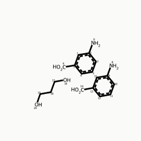 Nc1cccc(C(=O)O)c1.Nc1cccc(C(=O)O)c1.OCCCO